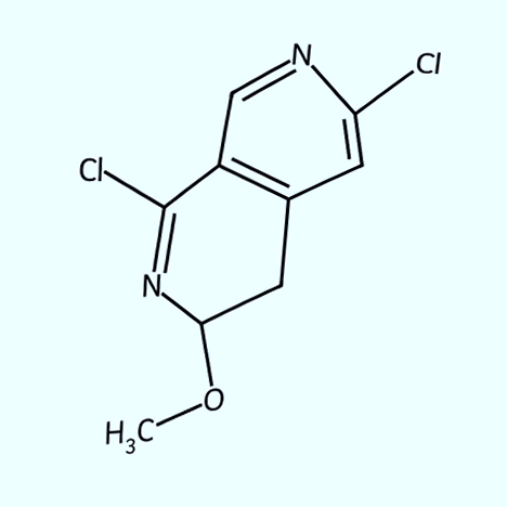 COC1Cc2cc(Cl)ncc2C(Cl)=N1